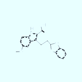 COc1ccc2[nH]c(C(=O)O)c(CCC3Oc4ccccc4O3)c2c1